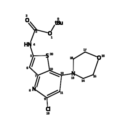 CC(C)(C)OC(=O)Nc1cc2nc(Cl)cc(N3CCOCC3)c2s1